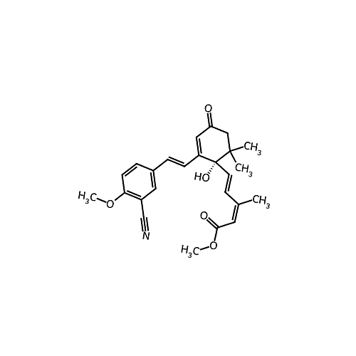 COC(=O)/C=C(C)\C=C\[C@@]1(O)C(/C=C/c2ccc(OC)c(C#N)c2)=CC(=O)CC1(C)C